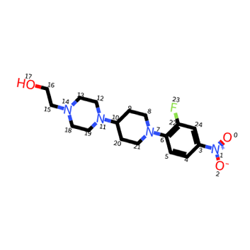 O=[N+]([O-])c1ccc(N2CCC(N3CCN(CCO)CC3)CC2)c(F)c1